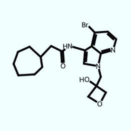 O=C(CC1CCCCCC1)Nc1cn(CC2(O)COC2)c2nccc(Br)c12